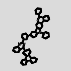 c1ccc(-c2nc3cc4c5cc(-c6cccc(-c7nc(-c8ccc9c%10ccccc%10c%10ccccc%10c9c8)c8ccccc8n7)c6)ccc5n(-c5ccccc5)c4cc3c3ccccc23)cc1